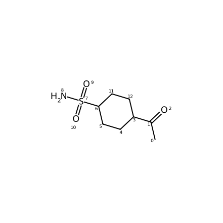 CC(=O)C1CCC(S(N)(=O)=O)CC1